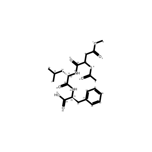 COC(=O)CC(SC(C)=O)C(=O)N[C@@H](CC(C)C)C(=O)N[C@@H](Cc1ccccc1)C(=O)O